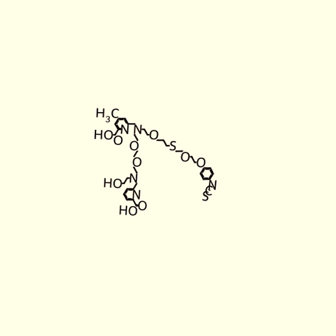 Cc1cc(CN(CCOCCCSCCOCCOc2ccc(N=C=S)cc2)CCOCCOCCN(CCO)Cc2cccc(C(=O)O)n2)nc(C(=O)O)c1